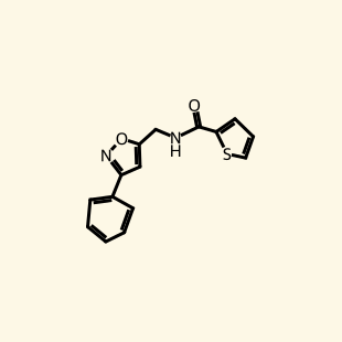 O=C(NCc1cc(-c2ccccc2)no1)c1cccs1